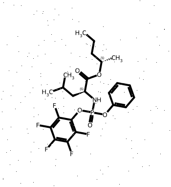 CCC[C@H](C)OC(=O)[C@H](CC(C)C)NP(=O)(Oc1ccccc1)Oc1c(F)c(F)c(F)c(F)c1F